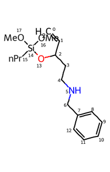 C=CC(CCNCc1ccccc1)O[Si](CCC)(OC)OC